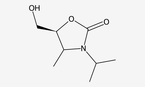 CC(C)N1C(=O)O[C@H](CO)C1C